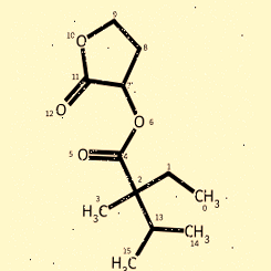 CCC(C)(C(=O)OC1CCOC1=O)C(C)C